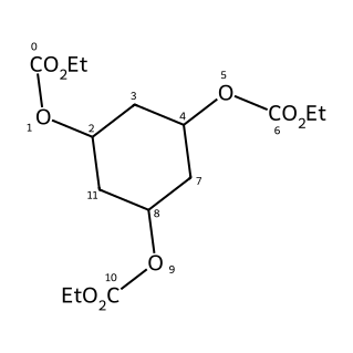 CCOC(=O)OC1CC(OC(=O)OCC)CC(OC(=O)OCC)C1